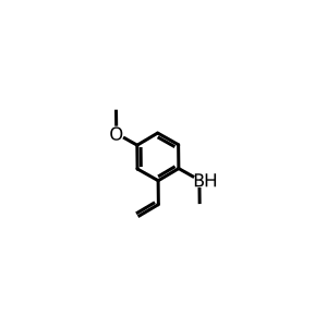 C=Cc1cc(OC)ccc1BC